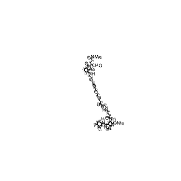 CNC(=O)CCC(C=O)N1C(=O)c2cccc(NCCOCCOCCOCCOCCC(=O)N3CCN(C/C=C/C(=O)Nc4cc5c(Nc6ccc(F)c(Cl)c6)ncnc5cc4OC)CC3)c2C1=O